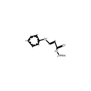 CCCCCCOC(=O)C=COc1ccccc1